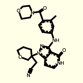 Cc1cc(Nc2nn(C3(CC#N)CCCOC3)c3cc[nH]c(=O)c23)ccc1C(=O)N1CCOCC1